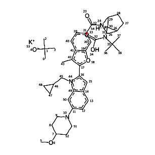 CC(C)(C)[O-].COC1CCN(c2ccc3cc(-c4oc5cc(C(=O)N6CC7CCC6[C@@H]7N(C(=O)O)C(C)(C)C)ccc5c4C)n(CC4CC4)c3c2)CC1.[K+]